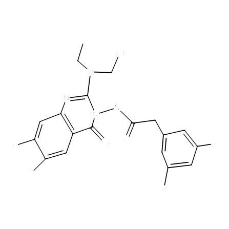 CCN(CC)c1nc2cc(F)c(F)cc2c(=O)n1NC(=O)Cc1cc(F)cc(F)c1